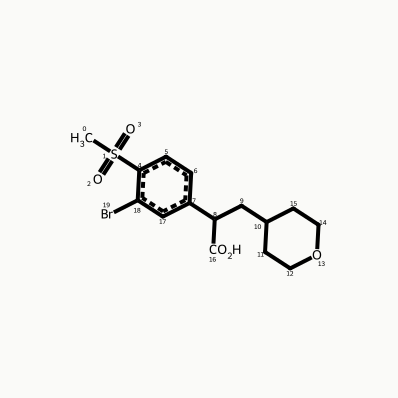 CS(=O)(=O)c1ccc(C(CC2CCOCC2)C(=O)O)cc1Br